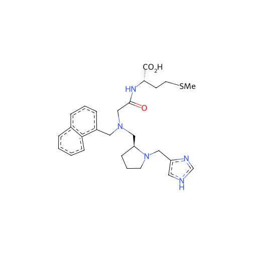 CSCC[C@H](NC(=O)CN(Cc1cccc2ccccc12)C[C@@H]1CCCN1Cc1c[nH]cn1)C(=O)O